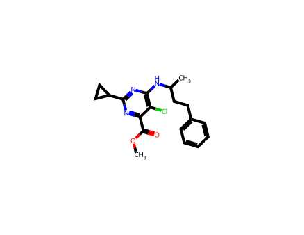 COC(=O)c1nc(C2CC2)nc(NC(C)CCc2ccccc2)c1Cl